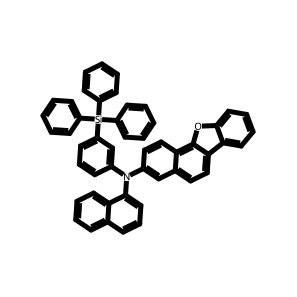 c1ccc([Si](c2ccccc2)(c2ccccc2)c2cccc(N(c3ccc4c(ccc5c6ccccc6oc45)c3)c3cccc4ccccc34)c2)cc1